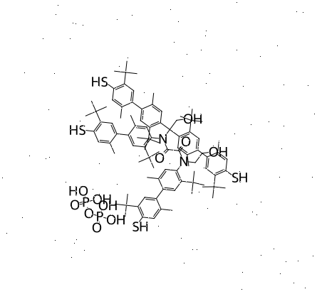 Cc1cc(S)c(C(C)(C)C)cc1-c1cc(C(C)(C)C)c(N(CCO)C(=O)C(=O)N(c2cc(C)c(-c3cc(C(C)(C)C)c(S)cc3C)cc2C(C)(C)C)C(CO)(c2cc(C)c(-c3cc(C(C)(C)C)c(S)cc3C)cc2C(C)(C)C)c2cc(C)c(-c3cc(C(C)(C)C)c(S)cc3C)cc2C(C)(C)C)cc1C.O=P(O)(O)OP(=O)(O)O